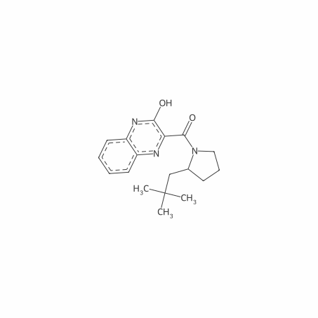 CC(C)(C)CC1CCCN1C(=O)c1nc2ccccc2nc1O